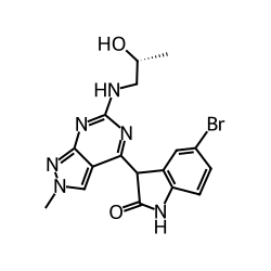 C[C@@H](O)CNc1nc(C2C(=O)Nc3ccc(Br)cc32)c2cn(C)nc2n1